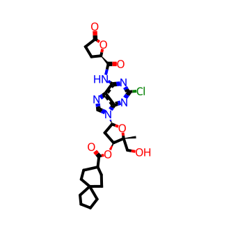 C[C@]1(CO)O[C@@H](n2cnc3c(NC(=O)[C@H]4CCC(=O)O4)nc(Cl)nc32)C[C@@H]1OC(=O)C1CCC2(CCCC2)CC1